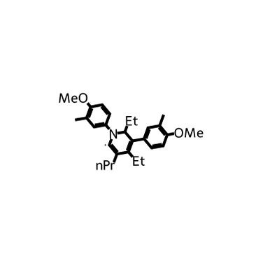 CCCC1=[C]N(c2ccc(OC)c(C)c2)C(CC)C(c2ccc(OC)c(C)c2)=C1CC